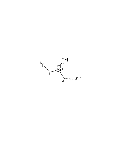 O[SiH](CF)CF